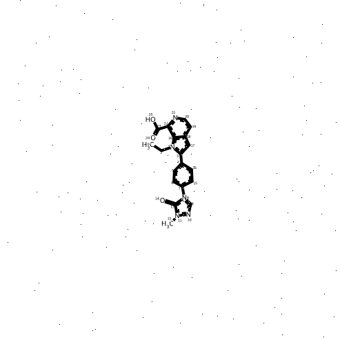 CCn1c(-c2ccc(-n3cnn(C)c3=O)cc2)cc2ccnc(C(=O)O)c21